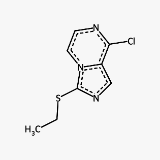 CCSc1ncc2c(Cl)nccn12